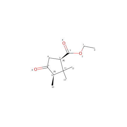 CCOC(=O)[C@@H]1CC(=O)[C@H](C)C1(C)C